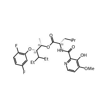 CCC(CC)[C@H](Oc1cc(F)ccc1F)[C@H](C)OC(=O)[C@H](CC(C)C)NC(=O)c1nccc(OC)c1O